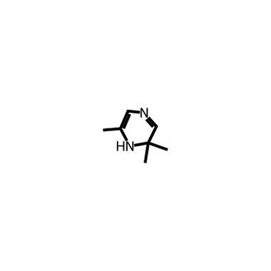 CC1=CN=CC(C)(C)N1